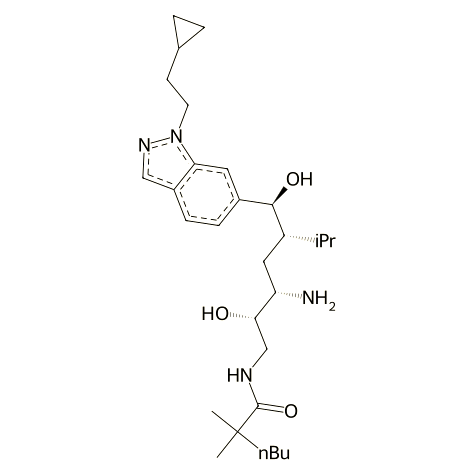 CCCCC(C)(C)C(=O)NC[C@H](O)[C@@H](N)C[C@@H](C(C)C)[C@H](O)c1ccc2cnn(CCC3CC3)c2c1